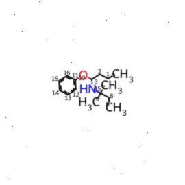 CCCC(NC(C)(C)CC)Oc1ccccc1